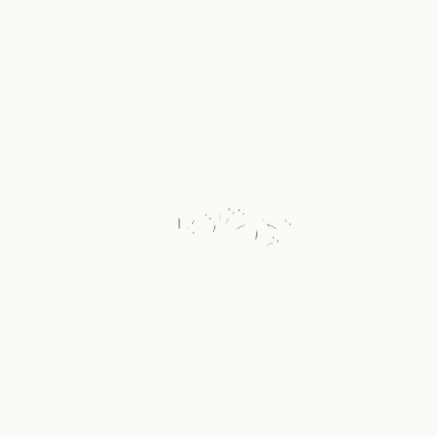 CC1(C)Cc2cnc(N)nc2-c2c1c(C(=O)Nc1nc(CC(=O)O)cs1)nn2C1CCCCO1